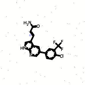 NC(=O)/C=C/c1c[nH]c2ncc(-c3ccc(Cl)c(C(F)(F)F)c3)cc12